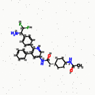 CC(=O)N[C@H]1CC[C@H](CC(=O)Nc2cnc(-c3ccc(C(N)C(F)F)cc3)c(-c3ccccc3)c2)CC1